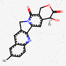 CC[C@@]1(O)C(=O)OCc2c1cc1n(c2=O)Cc2cc3cc(C#N)ccc3nc2-1